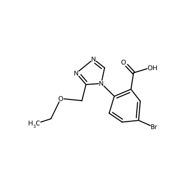 CCOCc1nncn1-c1ccc(Br)cc1C(=O)O